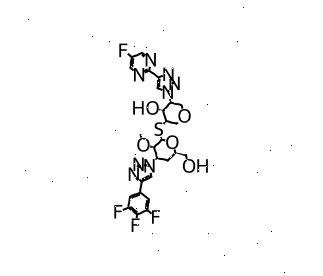 CO[C@H]1[C@H](S[C@@H]2COC[C@H](n3cc(-c4ncc(F)cn4)nn3)[C@H]2O)O[C@@H](CO)C[C@@H]1n1cc(-c2cc(F)c(F)c(F)c2)nn1